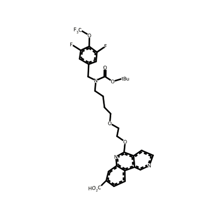 CC(C)(C)OC(=O)N(CCCCOCCOc1nc2cc(C(=O)O)ccc2c2cnccc12)Cc1cc(F)c(OC(F)(F)F)c(F)c1